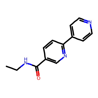 CCNC(=O)c1ccc(-c2ccncc2)nc1